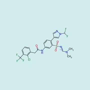 CN(C)/C=N/S(=O)(=O)c1cc(NC(=O)Cc2cccc(C(F)(F)F)c2Cl)ccc1-c1cnn(C(F)F)c1